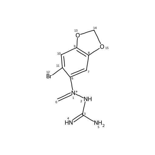 C=[N+](NC(=N)N)c1cc2c(cc1Br)OCO2